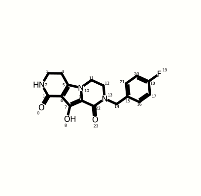 O=C1NCCc2c1c(O)c1n2CCN(Cc2ccc(F)cc2)C1=O